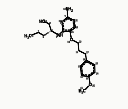 CCC[C@H](CO)Nc1nc(N)ncc1OCCCc1ccc(OC)cc1